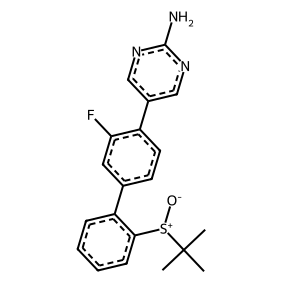 CC(C)(C)[S+]([O-])c1ccccc1-c1ccc(-c2cnc(N)nc2)c(F)c1